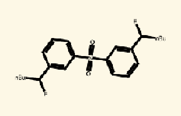 CCCCC(F)c1cccc(S(=O)(=O)c2cccc(C(F)CCCC)c2)c1